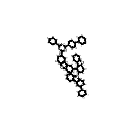 c1ccc(-c2ccc(-c3nc(-c4ccccc4)nc(-c4ccc5oc6ccc(-c7c(-n8c9ccccc9c9cc(-c%10ccccc%10)ccc98)ccc8oc9ccccc9c78)cc6c5c4)n3)cc2)cc1